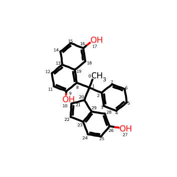 CC(c1ccccc1)(c1c(O)ccc2ccc(O)cc12)C1C=Cc2ccc(O)cc21